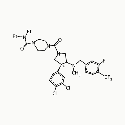 CCN(CC)C(=O)N1CCN(C(=O)N2CC(N(C)Cc3ccc(C(F)(F)F)c(F)c3)[C@@H](c3ccc(Cl)c(Cl)c3)C2)CC1